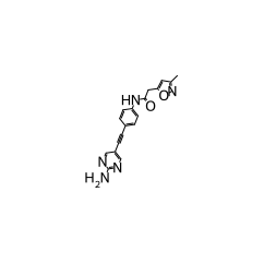 Cc1cc(CC(=O)Nc2ccc(C#Cc3cnc(N)nc3)cc2)on1